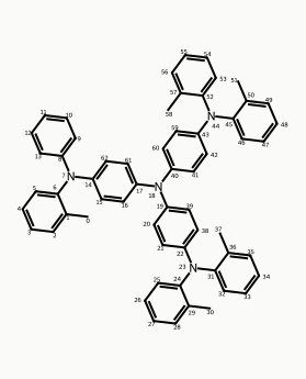 Cc1ccccc1N(c1ccccc1)c1ccc(N(c2ccc(N(c3ccccc3C)c3ccccc3C)cc2)c2ccc(N(c3ccccc3C)c3ccccc3C)cc2)cc1